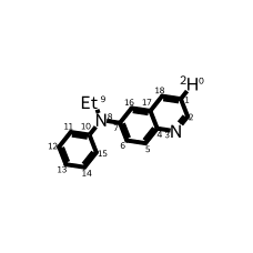 [2H]c1cnc2ccc(N(CC)c3ccccc3)cc2c1